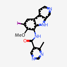 COc1c(I)cc2c([nH]c3cnccc32)c1NC(=O)c1cncnc1C